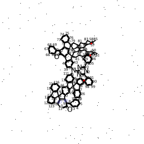 C=c1oc2ccccc2/c1=C1/C(=C\C)C2(c3cc4c(cc31)C1(c3ccccc3-c3ccccc31)c1cc(N(c3ccc5c(c3)C(CCCCCCC)(CCCCCCC)c3c6c(c7c(oc8ccccc87)c3-5)-c3ccccc3C6(CCCCCCC)CCCCCCC)c3nc(-c5ccccc5)nc(-c5ccccc5)n3)ccc1-4)c1ccccc1-c1ccccc12